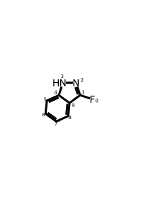 Fc1n[nH]c2cc[c]cc12